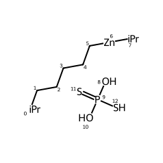 CC(C)CCCC[CH2][Zn][CH](C)C.OP(O)(=S)S